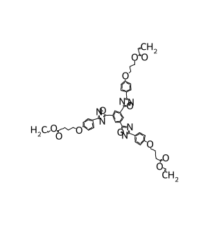 C=COC(=O)CCCOc1ccc(-c2noc(-c3cc(-c4nc(-c5ccc(OCCCOC(=O)C=C)cc5)no4)cc(-c4nc(-c5ccc(OCCCC(=O)OC=C)cc5)no4)c3)n2)cc1